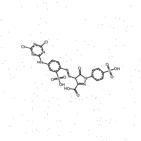 O=C(O)C1=NN(c2ccc(S(=O)(=O)O)cc2)C(=O)C1N=Nc1ccc(Nc2nc(Cl)nc(Cl)n2)cc1S(=O)(=O)O